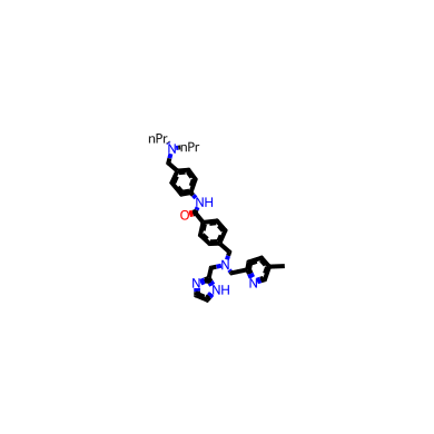 CCCN(CCC)Cc1ccc(NC(=O)c2ccc(CN(Cc3ccc(C)cn3)Cc3ncc[nH]3)cc2)cc1